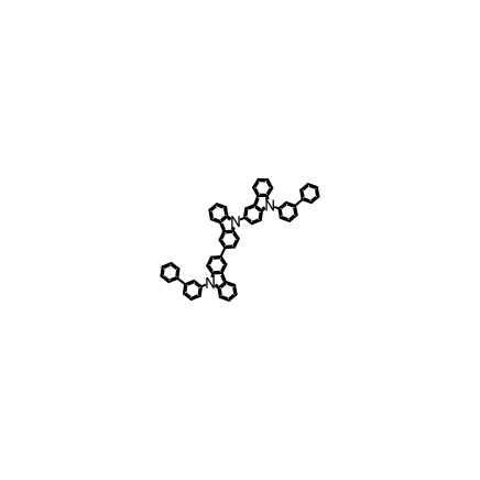 c1ccc(-c2cccc(-n3c4ccccc4c4cc(-c5ccc6c(c5)c5ccccc5n6-c5ccc6c(c5)c5ccccc5n6-c5cccc(-c6ccccc6)c5)ccc43)c2)cc1